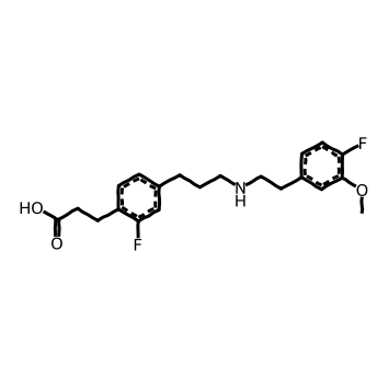 COc1cc(CCNCCCc2ccc(CCC(=O)O)c(F)c2)ccc1F